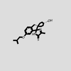 CC1=NC2(NC1=S)c1cc(OCC(C)C)ccc1C[C@]21CC[C@@H](O)CC1